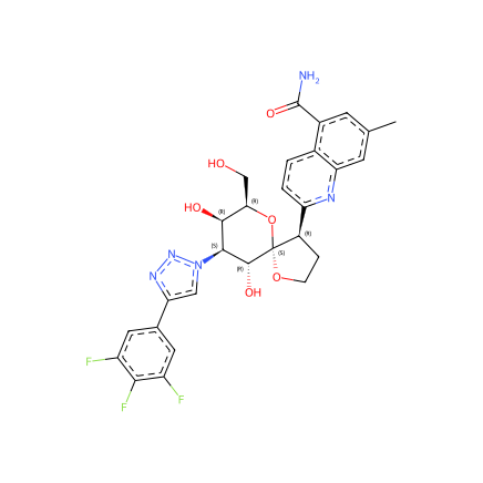 Cc1cc(C(N)=O)c2ccc([C@H]3CCO[C@]34O[C@H](CO)[C@H](O)[C@H](n3cc(-c5cc(F)c(F)c(F)c5)nn3)[C@H]4O)nc2c1